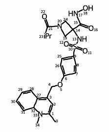 CC1=CC(COc2ccc(S(=O)(=O)NC3(C(=O)NO)CN(C(=O)C(C)C)C3)cc2)=C2C=CC=CC2N1C